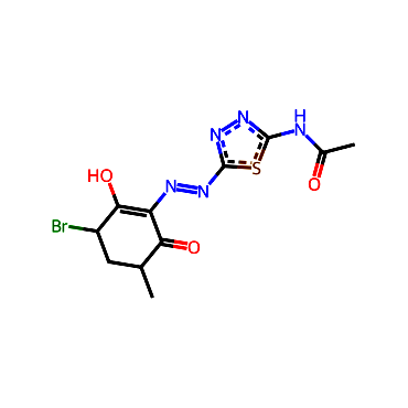 CC(=O)Nc1nnc(N=NC2=C(O)C(Br)CC(C)C2=O)s1